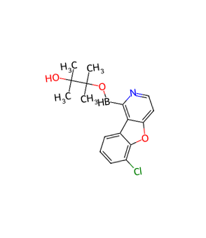 CC(C)(O)C(C)(C)OBc1nccc2oc3c(Cl)cccc3c12